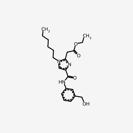 CCCCCCn1cc(C(=O)Nc2cccc(CO)c2)nc1CC(=O)OCC